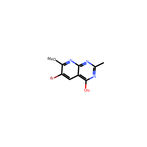 COc1nc2nc(C)nc(O)c2cc1Br